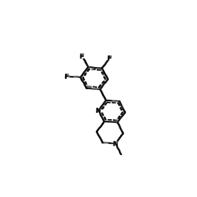 CN1CCc2nc(-c3cc(F)c(F)c(F)c3)ccc2C1